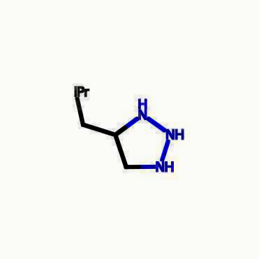 CC(C)CC1CNNN1